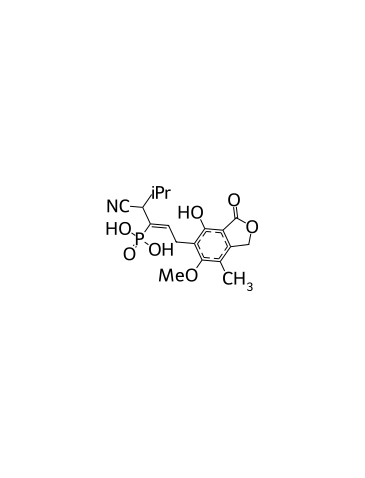 COc1c(C)c2c(c(O)c1CC=C(C(C#N)C(C)C)P(=O)(O)O)C(=O)OC2